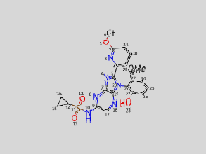 CCOC1=NC(c2nc3nc(NS(=O)(=O)C4CC4)cnc3n2-c2c(O)cccc2OC)=C=C=C1